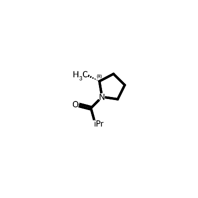 CC(C)C(=O)N1CCC[C@H]1C